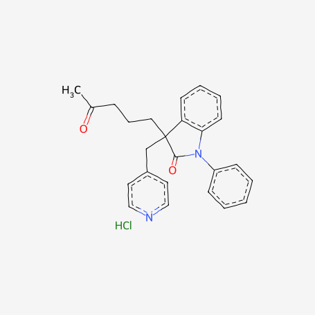 CC(=O)CCCC1(Cc2ccncc2)C(=O)N(c2ccccc2)c2ccccc21.Cl